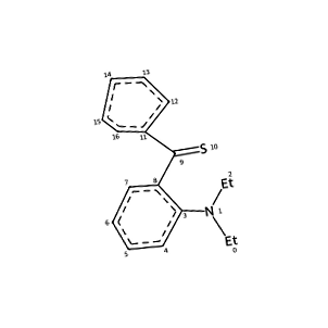 CCN(CC)c1ccccc1C(=S)c1ccccc1